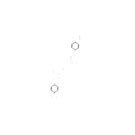 O=C(CSc1ccc(O)cc1)OCCOC(=O)CSc1ccc(O)cc1